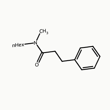 CCCCCCN(C)C(=O)CCc1ccccc1